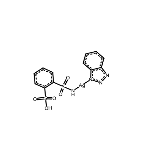 O=S(=O)(O)c1ccccc1S(=O)(=O)[NH][Ag][n]1nnc2ccccc21